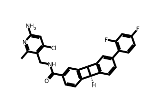 Cc1nc(N)cc(Cl)c1CNC(=O)c1ccc2c(c1)C1c3cc(-c4ccc(F)cc4F)ccc3[C@@H]21